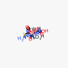 Nc1nc(C(=NOC2(C(=O)O)CCOCC2)C(=O)N[C@@H]2C(=O)N(S(=O)(=O)O)[C@@H]2CNC(=O)NCc2cc(=O)c(O)cn2O)cs1